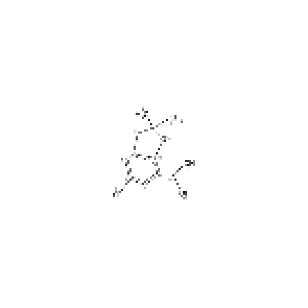 CC1(C)Cc2cc(Cl)cc(C(O)O)c2O1